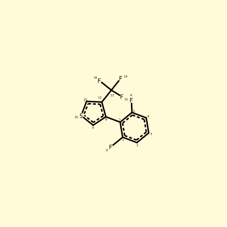 Fc1cccc(F)c1-c1cs[c]c1C(F)(F)F